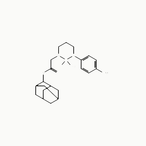 COc1ccc(N2CCCN(CC(=O)NC3C4CC5CC(C4)CC3C5)S2(O)O)cc1